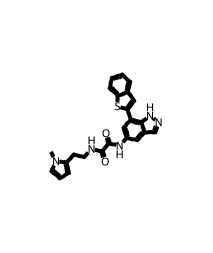 Cn1cccc1CCNC(=O)C(=O)Nc1cc(-c2cc3ccccc3s2)c2[nH]ncc2c1